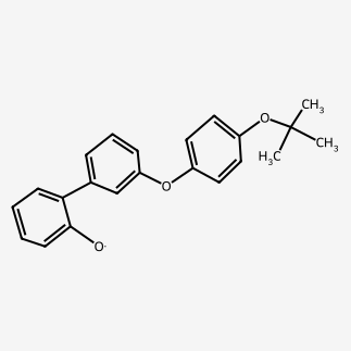 CC(C)(C)Oc1ccc(Oc2cccc(-c3ccccc3[O])c2)cc1